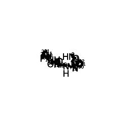 CNC(=O)Cn1c(CCNCCc2nc(C(=O)NCc3ncccc3F)co2)nc2ccccc21